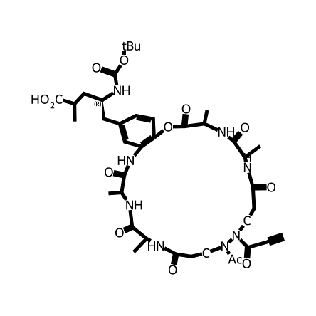 C#CC(=O)N1CCC(=O)NC(C)C(=O)NC(C)C(=O)Oc2ccc(C[C@@H](CC(C)C(=O)O)NC(=O)OC(C)(C)C)cc2NC(=O)C(C)NC(=O)C(C)NC(=O)CCN1C(C)=O